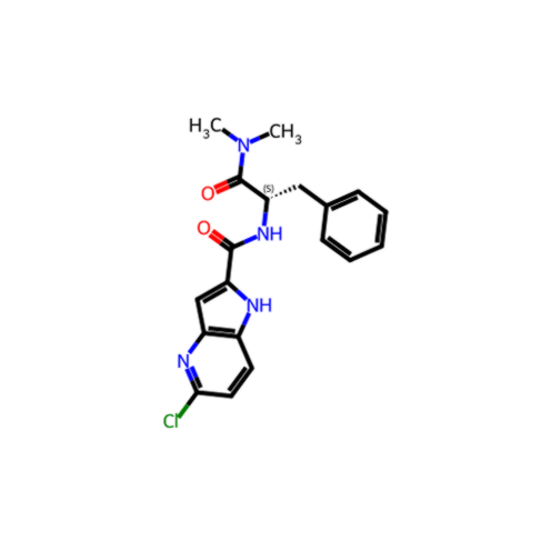 CN(C)C(=O)[C@H](Cc1ccccc1)NC(=O)c1cc2nc(Cl)ccc2[nH]1